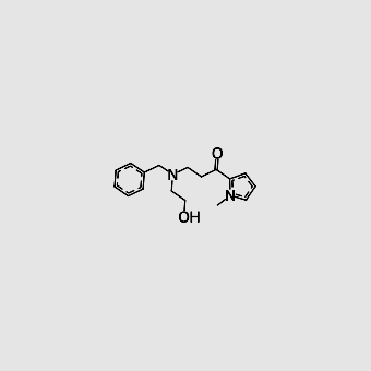 Cn1cccc1C(=O)CCN(CCO)Cc1ccccc1